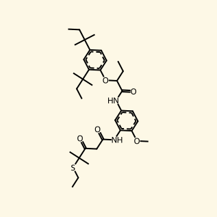 CCSC(C)(C)C(=O)CC(=O)Nc1cc(NC(=O)C(CC)Oc2ccc(C(C)(C)CC)cc2C(C)(C)CC)ccc1OC